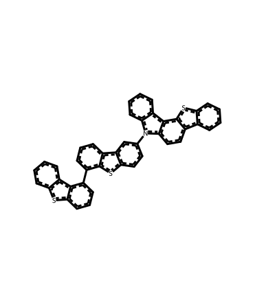 c1ccc2c(c1)sc1c2ccc2c1c1ccccc1n2-c1ccc2sc3c(-c4cccc5sc6ccccc6c45)cccc3c2c1